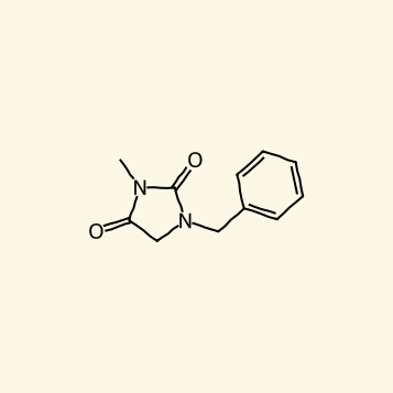 CN1C(=O)CN(Cc2ccccc2)C1=O